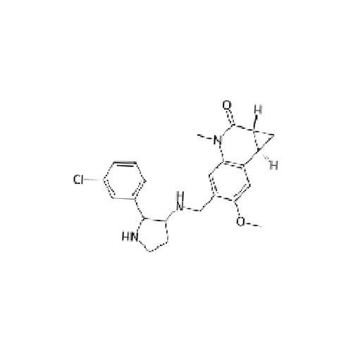 COc1cc2c(cc1CNC1CCNC1c1cccc(Cl)c1)N(C)C(=O)[C@@H]1C[C@@H]21